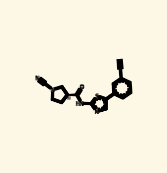 C#Cc1cccc(-c2cnc(NC(=O)[C@H]3CCN(C#N)C3)s2)c1